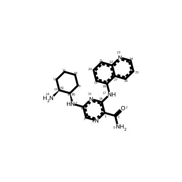 NC(=O)c1ncc(N[C@@H]2CCCC[C@@H]2N)nc1Nc1cccc2ncccc12